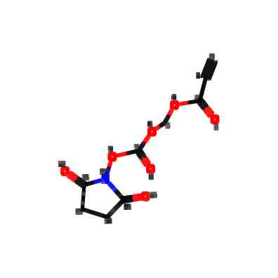 C#CC(=O)OCOC(=O)ON1C(=O)CCC1=O